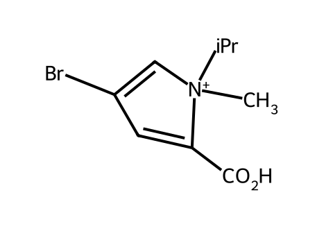 CC(C)[N+]1(C)C=C(Br)C=C1C(=O)O